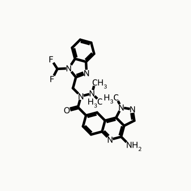 CN(C)N(Cc1nc2ccccc2n1C(F)F)C(=O)c1ccc2nc(N)c3cnn(C)c3c2c1